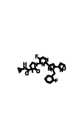 CC1(C(=O)NC2CC2)CCN(c2nc(-c3cc(-c4ccon4)n(Cc4ccccc4F)n3)ncc2F)C1=O